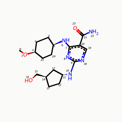 CO[C@H]1CC[C@@H](Nc2nc(N[C@@H]3CC[C@@H](CO)C3)ncc2C(N)=O)CC1